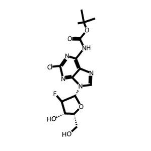 CC(C)(C)OC(=O)Nc1nc(Cl)nc2c1ncn2[C@@H]1O[C@H](CO)[C@H](O)C1F